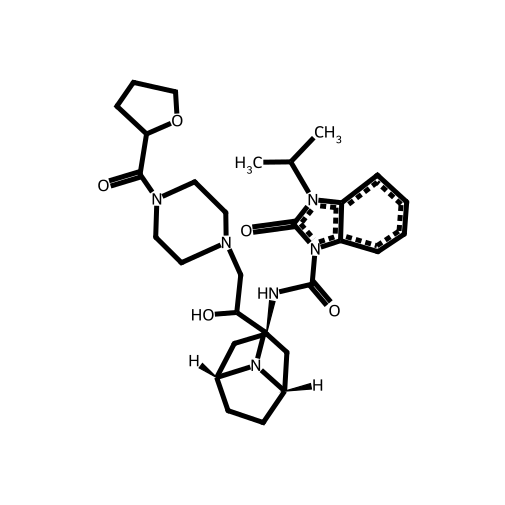 CC(C)n1c(=O)n(C(=O)N[C@@H]2C[C@H]3CC[C@@H](C2)N3CC(O)CN2CCN(C(=O)C3CCCO3)CC2)c2ccccc21